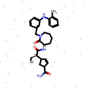 Cc1ccccc1Nc1cccc(CN2CCCC[C@H](NC(=O)[C@H](CC(C)C)C3C=CC(C(N)=O)C3)C2=O)c1